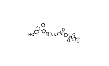 O=C1CCC(N2Cc3cc4c(cc3C2=O)CN(CC2CN(CC3CCN(c5ccc([C@@H]6c7ccc(O)cc7CC[C@@H]6c6ccccc6)cc5)CC3)C2)C4=O)C(=O)N1